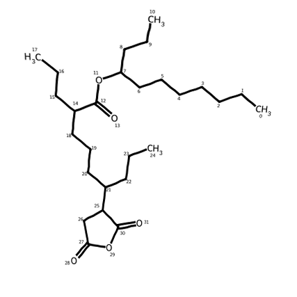 CCCCCCCC(CCC)OC(=O)C(CCC)CCCC(CCC)C1CC(=O)OC1=O